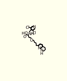 O=C(O)C(CCOCCCCc1ccc2c(n1)NCCC2)NCc1c(Cl)cncc1Cl